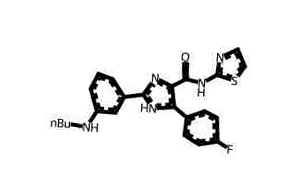 CCCCNc1cccc(-c2nc(C(=O)Nc3nccs3)c(-c3ccc(F)cc3)[nH]2)c1